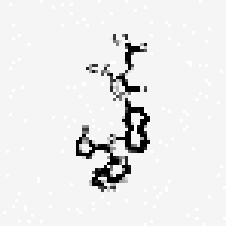 NC(=O)CC[C@H](NC(=O)O)C(=O)Nc1ccc2cccc(O[C@@H](c3ncnc4[nH]cnc34)C3CCCN3)c2c1